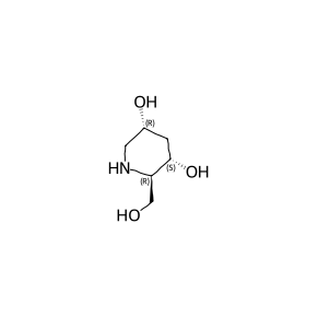 OC[C@H]1NC[C@H](O)C[C@@H]1O